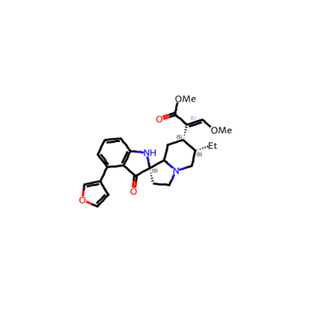 CC[C@@H]1CN2CC[C@]3(Nc4cccc(-c5ccoc5)c4C3=O)C2C[C@@H]1/C(=C\OC)C(=O)OC